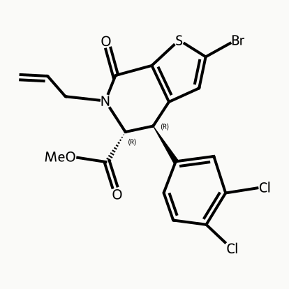 C=CCN1C(=O)c2sc(Br)cc2[C@@H](c2ccc(Cl)c(Cl)c2)[C@@H]1C(=O)OC